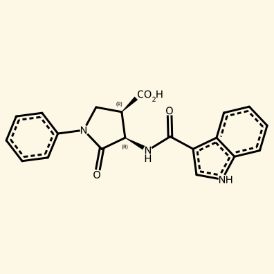 O=C(N[C@H]1C(=O)N(c2ccccc2)C[C@H]1C(=O)O)c1c[nH]c2ccccc12